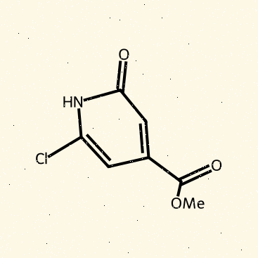 COC(=O)c1cc(Cl)[nH]c(=O)c1